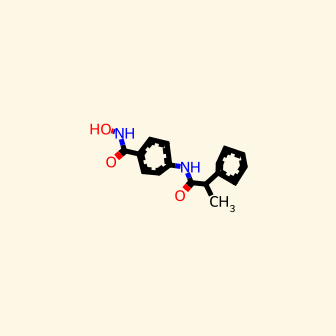 CC(C(=O)Nc1ccc(C(=O)NO)cc1)c1ccccc1